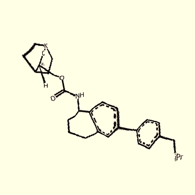 CC(C)Cc1ccc(-c2ccc3c(c2)CCCC3NC(=O)O[C@H]2CN3CCC2CC3)cc1